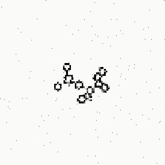 c1ccc(-c2nc(-c3ccccc3)nc(-c3ccc(-c4cc(-n5c6ccccc6c6c7ccccc7ccc65)cc5oc6ccccc6c45)cc3)n2)cc1